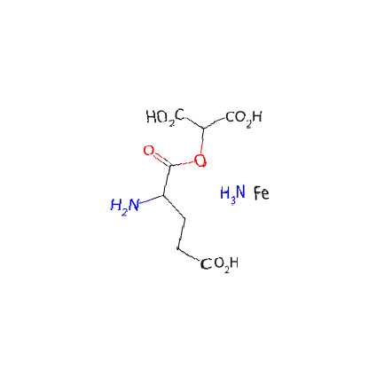 N.NC(CCC(=O)O)C(=O)OC(C(=O)O)C(=O)O.[Fe]